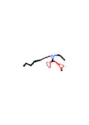 CCCCCCN(CC)C(=O)OC